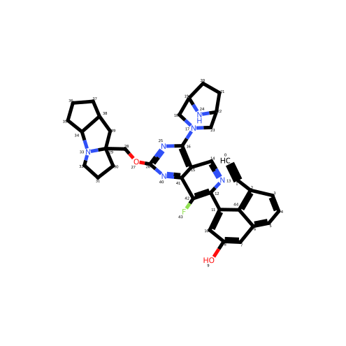 C#Cc1cccc2cc(O)cc(-c3ncc4c(N5CC6CCC(C5)N6)nc(OCC56CCCN5C5CCCC5C6)nc4c3F)c12